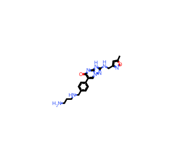 Cc1cc(CNc2nn3cc(-c4ccc(CNCCCN)cc4)c(=O)nc3[nH]2)no1